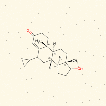 C[C@]12CCC(=O)C=C1C(C1CC1)C[C@@H]1[C@@H]2CC[C@]2(C)C(O)CC[C@@H]12